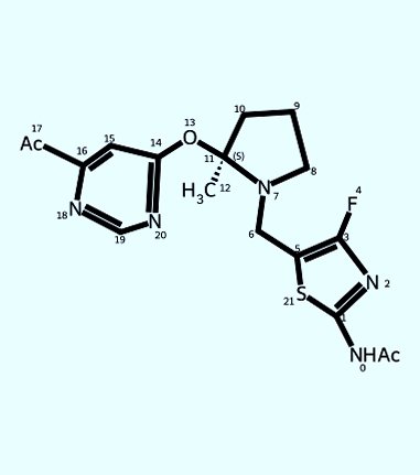 CC(=O)Nc1nc(F)c(CN2CCC[C@]2(C)Oc2cc(C(C)=O)ncn2)s1